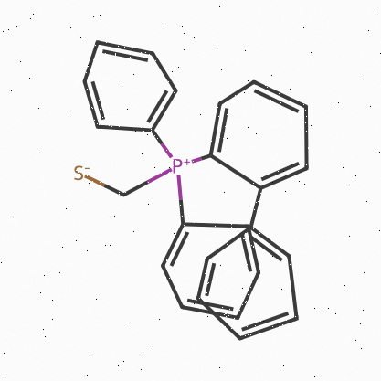 [S-]C[P+](c1ccccc1)(c1ccccc1)c1ccccc1-c1ccccc1